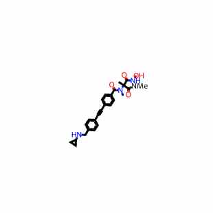 CNC(=O)C(C)(C(=O)NO)N(C)C(=O)c1ccc(C#Cc2ccc(CNC3CC3)cc2)cc1